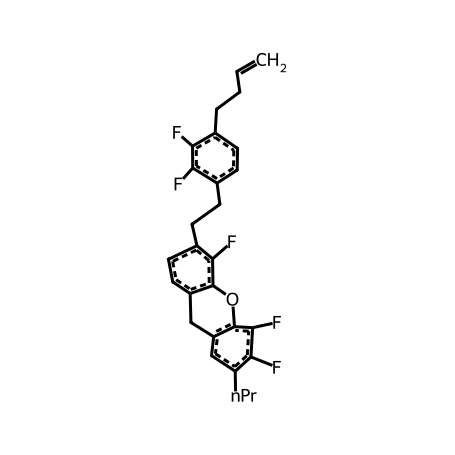 C=CCCc1ccc(CCc2ccc3c(c2F)Oc2c(cc(CCC)c(F)c2F)C3)c(F)c1F